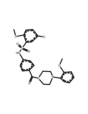 COc1ccccc1N1CCN(C(=O)c2ccc(NS(=O)(=O)c3cc(Cl)ccc3OC)cc2)CC1